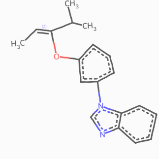 C/C=C(\Oc1cccc(-n2cnc3ccccc32)c1)C(C)C